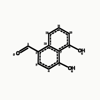 O=Cc1ccc(O)c2c(O)cccc12